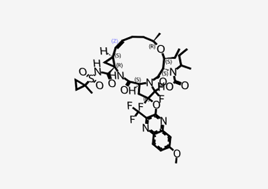 CCC(C)N(C(=O)O)[C@@H]1C(=O)N2[C@@H](C[C@@](C)(Oc3nc4cc(OC)ccc4nc3C(F)(F)F)C2(F)F)C(=O)N[C@]2(C(=O)NS(=O)(=O)C3(C)CC3)C[C@H]2/C=C\CC[C@@H](C)O[C@H]1CC